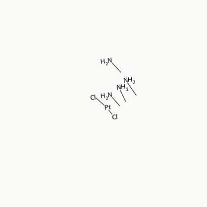 CN.CN.CN.CN.[Cl][Pt][Cl]